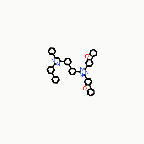 c1ccc(-c2cccc(-c3nc(-c4ccccc4)cc(-c4cccc(-c5cccc(-c6nc(-c7ccc8c(c7)oc7ccccc78)nc(-c7ccc8c(c7)oc7ccccc78)n6)c5)c4)n3)c2)cc1